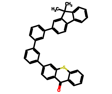 CC1(C)c2ccccc2-c2ccc(-c3cccc(-c4cccc(-c5ccc6c(=O)c7ccccc7sc6c5)c4)c3)cc21